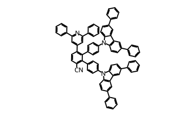 N#Cc1ccc(-c2cc(-c3ccccc3)nc(-c3ccccc3)c2)c(-c2ccc(-n3c4ccc(-c5ccccc5)cc4c4cc(-c5ccccc5)ccc43)cc2)c1-c1ccc(-n2c3ccc(-c4ccccc4)cc3c3cc(-c4ccccc4)ccc32)cc1